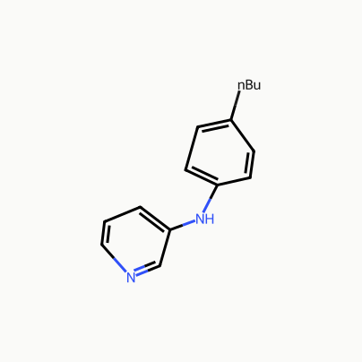 CCCCc1ccc(Nc2cccnc2)cc1